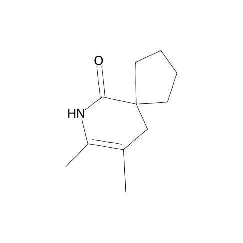 CC1=C(C)NC(=O)C2(CCCC2)C1